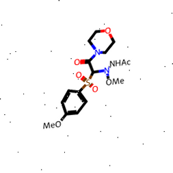 COc1ccc(S(=O)(=O)C(C(=O)N2CCOCC2)N(NC(C)=O)OC)cc1